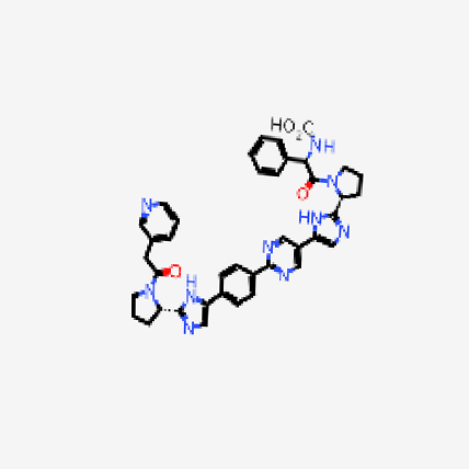 O=C(O)N[C@@H](C(=O)N1CCC[C@H]1c1ncc(-c2cnc(-c3ccc(-c4cnc([C@@H]5CCCN5C(=O)Cc5cccnc5)[nH]4)cc3)nc2)[nH]1)c1ccccc1